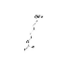 COCCCCCOP(F)F